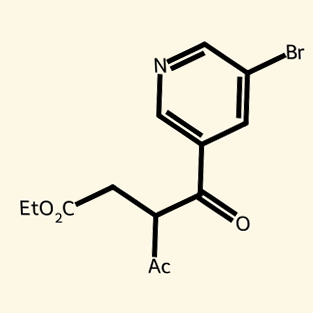 CCOC(=O)CC(C(C)=O)C(=O)c1cncc(Br)c1